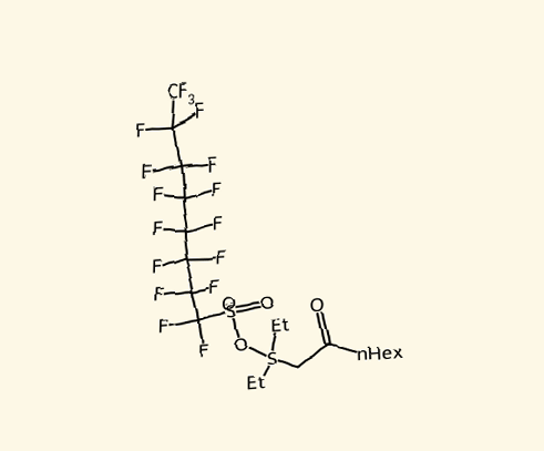 CCCCCCC(=O)CS(CC)(CC)OS(=O)(=O)C(F)(F)C(F)(F)C(F)(F)C(F)(F)C(F)(F)C(F)(F)C(F)(F)C(F)(F)F